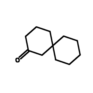 O=C1CCCC2(CCCCC2)C1